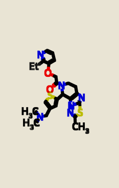 CCc1ncccc1OCC(=O)N1CCc2nc3sc(C)nn3c2C1c1cc(CN(C)C)cs1